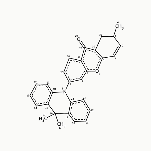 CC1C=Cc2oc3cc(N4c5ccccc5C(C)(C)c5ccccc54)ccc3c(=O)c2C1